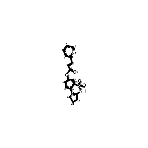 O=C(C=Cc1ccccc1)Oc1ccc2c(c1)S(=O)(=O)NC1CCCN21